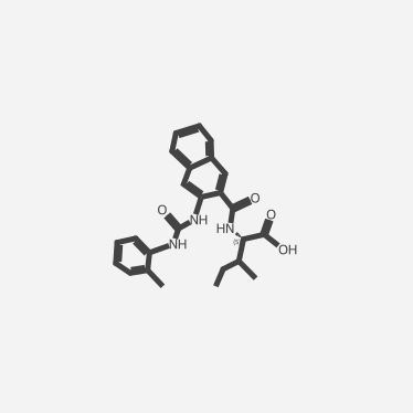 CCC(C)[C@H](NC(=O)c1cc2ccccc2cc1NC(=O)Nc1ccccc1C)C(=O)O